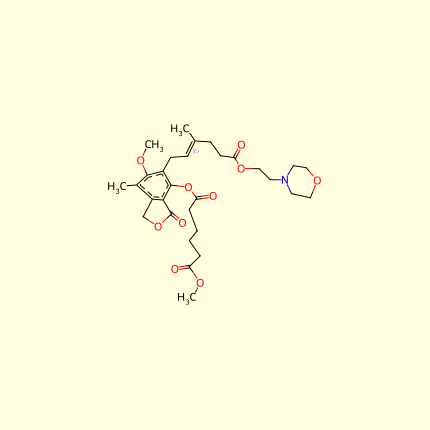 COC(=O)CCCCC(=O)Oc1c(C/C=C(\C)CCC(=O)OCCN2CCOCC2)c(OC)c(C)c2c1C(=O)OC2